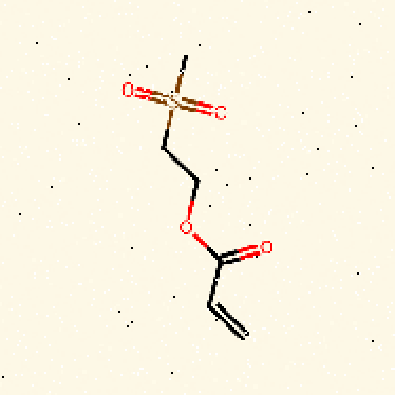 C=CC(=O)OCCS(C)(=O)=O